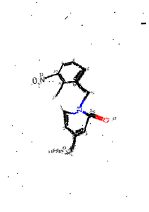 CCCCCCc1ccn(Cc2cccc([N+](=O)[O-])c2C)c(=O)c1